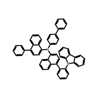 c1ccc(-c2ccc(N(c3ccc(-c4ccccc4)c4ccccc34)c3ccc(-c4ccccc4-n4c5ccccc5c5ccccc54)c4ccccc34)cc2)cc1